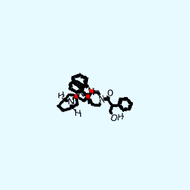 Cc1nc2ccccc2n1C1C[C@H]2CC[C@@H](C1)N2CCC1(c2ccccc2)CCN(C(=O)C(CO)c2ccccc2)CC1